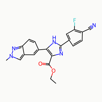 CCOC(=O)c1nc(-c2ccc(C#N)c(F)c2)[nH]c1-c1ccc2nn(C)cc2c1